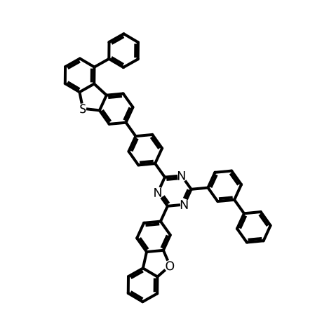 c1ccc(-c2cccc(-c3nc(-c4ccc(-c5ccc6c(c5)sc5cccc(-c7ccccc7)c56)cc4)nc(-c4ccc5c(c4)oc4ccccc45)n3)c2)cc1